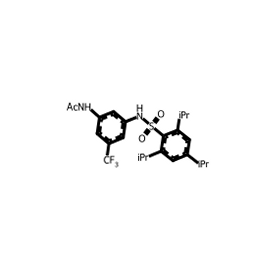 CC(=O)Nc1cc(NS(=O)(=O)c2c(C(C)C)cc(C(C)C)cc2C(C)C)cc(C(F)(F)F)c1